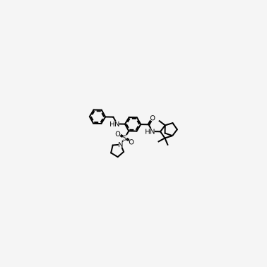 CC12CCC(C1)C(C)(C)C2NC(=O)c1ccc(NCc2ccccc2)c(S(=O)(=O)N2CCCC2)c1